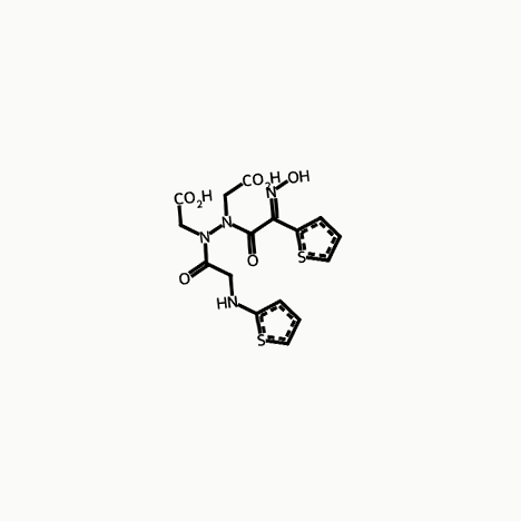 O=C(O)CN(C(=O)CNc1cccs1)N(CC(=O)O)C(=O)C(=NO)c1cccs1